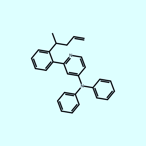 C=CCC(C)c1ccccc1-c1cc(N(c2ccccc2)c2ccccc2)ccn1